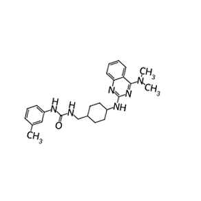 Cc1cccc(NC(=O)NCC2CCC(Nc3nc(N(C)C)c4ccccc4n3)CC2)c1